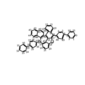 c1ccc(-c2ccc(-c3c4ccccc4cc4c3oc3cccc(N(c5ccc(-c6ccccc6)cc5)c5cccc6ccccc56)c34)cc2)cc1